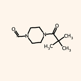 CC(C)(C)C(=O)N1CCN([C]=O)CC1